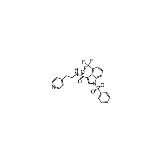 O=S(=O)(NCCc1ccncc1)c1cn(S(=O)(=O)c2ccccc2)c2cccc(C(F)(F)F)c12